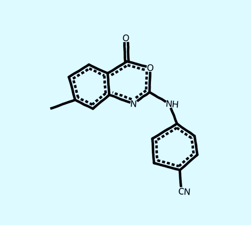 Cc1ccc2c(=O)oc(Nc3ccc(C#N)cc3)nc2c1